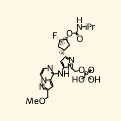 COCc1cc2c(Nc3cc([C@@H]4C[C@H](F)[C@H](OC(=O)NC(C)C)C4)nn3COP(=O)(O)O)nccn2n1